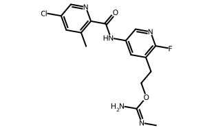 C/N=C(/N)OCCc1cc(NC(=O)c2ncc(Cl)cc2C)cnc1F